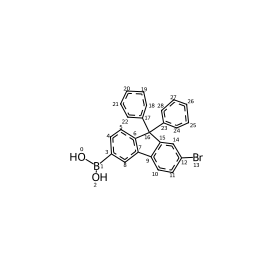 OB(O)c1ccc2c(c1)-c1ccc(Br)cc1C2(c1ccccc1)c1ccccc1